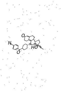 CC#C[C@]1(O)CCC2C3CCC4=CC(=O)CCC4=C3[C@@H](C3CCC(C(=O)c4ccc(C#N)cc4)CC3)C[C@@]21C